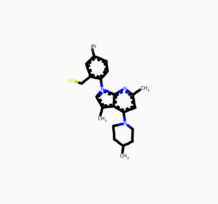 Cc1cc(N2CCC(C)CC2)c2c(C)cn(-c3ccc(C(C)C)cc3CS)c2n1